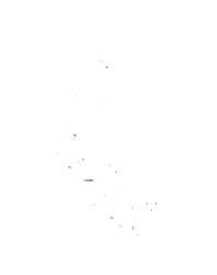 COc1ccc(C(C#N)=Cc2ccc(N3CCC(OC(=O)CN4CCCCC4)CC3)s2)cc1OC